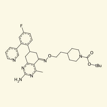 Cc1nc(N)nc2c1/C(=N/OCCC1CCN(C(=O)OC(C)(C)C)CC1)CC(c1ccc(F)cc1-c1cccnc1)C2